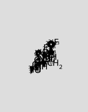 C=C[C@@H]1C[C@]1(NC(=O)[C@@H]1CCCN1C(=O)[C@@H](Nc1nc(-c2cc(F)ccc2F)cs1)C(C)(C)C)C(=O)NS(=O)(=O)C1CC1